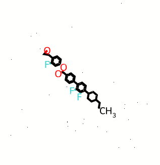 CCCC1CCC(c2ccc(-c3ccc(C(=O)Oc4ccc(C5CO5)c(F)c4)cc3)c(F)c2F)CC1